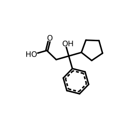 O=C(O)CC(O)(c1ccccc1)C1CCCC1